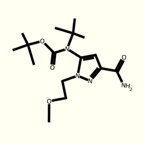 COCCn1nc(C(N)=O)cc1N(C(=O)OC(C)(C)C)C(C)(C)C